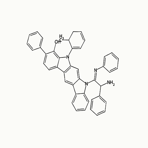 CC1CC=CC=C1n1c2cc3c(cc2c2ccc(-c4ccccc4)c(O)c21)c1ccccc1n3/C(=N/c1ccccc1)C(N)c1ccccc1